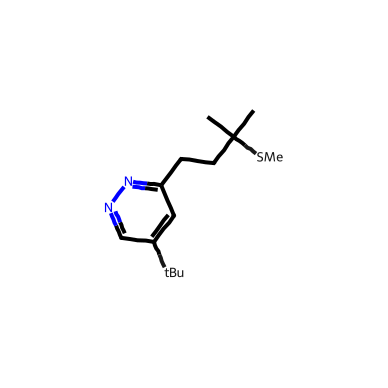 CSC(C)(C)CCc1cc(C(C)(C)C)cnn1